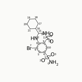 NS(=O)(=O)c1cc(Br)c2c(c1)S(=O)(=O)NC(C1CCCCC1)N2